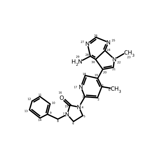 Cc1cc(N2CCN(Cc3ccccc3)C2=O)ncc1-c1cn(C)c2ncnc(N)c12